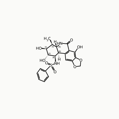 C[C@@H]1[C@H](O)[C@@H](O)[C@H](NS(=O)(=O)c2ccccc2)[C@@H]2c3cc4c(c(O)c3C(=O)N[C@@H]12)OCO4